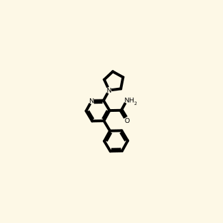 NC(=O)c1c(-c2ccccc2)ccnc1N1CCCC1